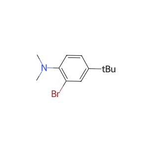 CN(C)c1ccc(C(C)(C)C)cc1Br